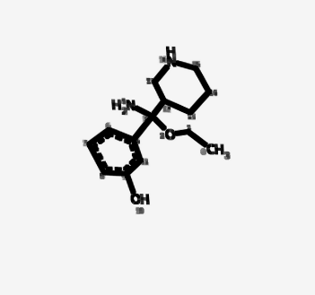 CCOC(N)(c1cccc(O)c1)C1CCCNC1